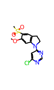 COc1cc2c(cc1S(C)(=O)=O)CCN2c1cc(Cl)ncn1